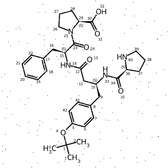 CC(C)(C)Oc1ccc(C[C@@H](CC(=O)N[C@@H](Cc2ccccc2)C(=O)N2CCC[C@H]2C(=O)O)NC(=O)[C@@H]2CCCN2)cc1